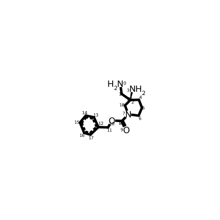 NC[C@]1(N)CCCN(C(=O)OCc2ccccc2)C1